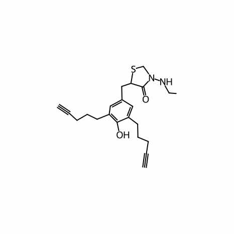 C#CCCCc1cc(CC2SCN(NCC)C2=O)cc(CCCC#C)c1O